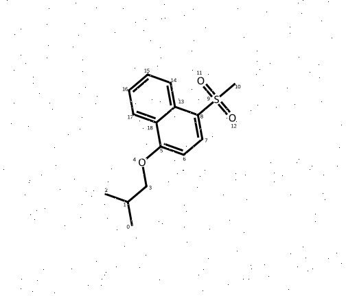 CC(C)COc1ccc(S(C)(=O)=O)c2ccccc12